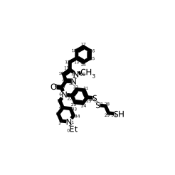 CCN1CCC(CN(C(=O)c2cc(Cc3ccccc3)n(C)n2)c2ccc(SSCCS)cc2)CC1